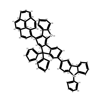 c1ccc(-n2c3ccccc3c3cc(-c4ccc5c(c4)C(c4ccccc4)(c4ccccc4)c4cc(-c6ccc7ccc8cccc9ccc6c7c89)c6c(oc7ccccc76)c4-5)ccc32)cc1